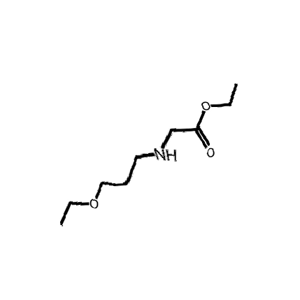 CCOCCCNCC(=O)OCC